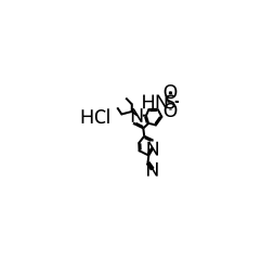 CCC(CC)n1cc(-c2ccc(C#N)nc2)c2ccc(NS(C)(=O)=O)cc21.Cl